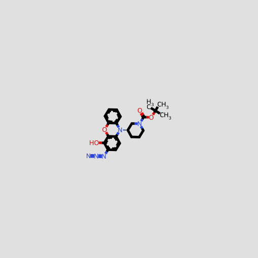 CC(C)(C)OC(=O)N1CCC[C@H](N2c3ccccc3Oc3c2ccc(N=[N+]=[N-])c3O)C1